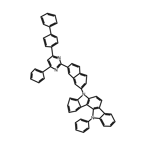 c1ccc(-c2ccc(-c3cc(-c4ccccc4)nc(-c4ccc5ccc(-n6c7ccccc7c7c6ccc6c8ccccc8n(-c8ccccc8)c67)cc5c4)n3)cc2)cc1